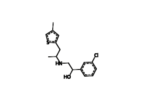 Cc1csc(CC(C)NCC(O)c2cccc(Cl)c2)c1